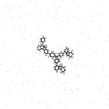 c1ccc(-n2c3ccccc3c3c4ccc(-c5ccc(N(c6ccc(-c7cccc8c7oc7ccccc78)cc6)c6ccc(-c7cccc8c7sc7ccccc78)cc6)cc5)cc4oc32)cc1